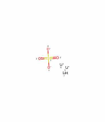 O=S(=O)([O-])[O-].[Li+].[Li+].[LiH]